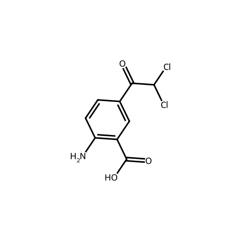 Nc1ccc(C(=O)C(Cl)Cl)cc1C(=O)O